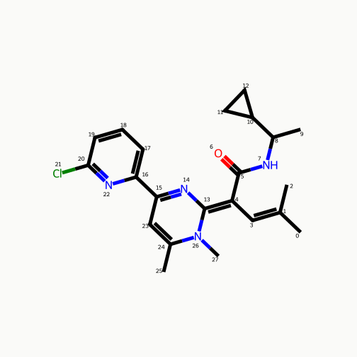 CC(C)=C/C(C(=O)NC(C)C1CC1)=C1/N=C(c2cccc(Cl)n2)C=C(C)N1C